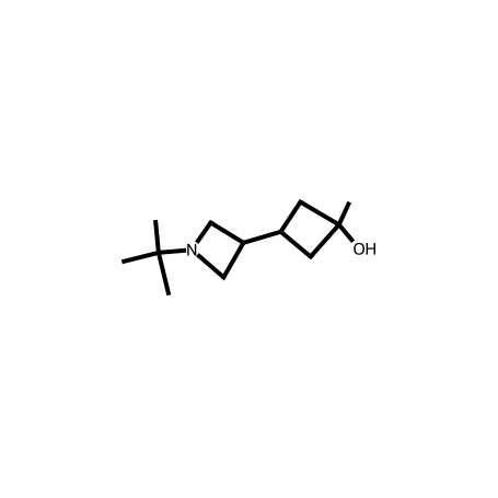 CC1(O)CC(C2CN(C(C)(C)C)C2)C1